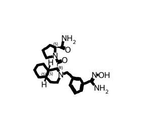 NC(=O)[C@@H]1CCCN1C(=O)[C@H]1[C@H]2CCCC[C@H]2CCN1Cc1cccc(C(N)=NO)c1